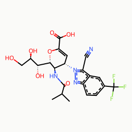 CC(C)C(=O)N[C@H]1[C@H]([C@H](O)[C@H](O)CO)OC(C(=O)O)=C[C@@H]1n1nc2ccc(C(F)(F)F)cc2c1C#N